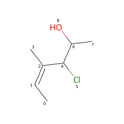 CC=C(C)C(Cl)C(C)O